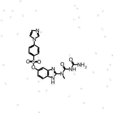 CN(C(=O)NC(N)=O)c1nc2cc(OS(=O)(=O)c3ccc(-n4ccnc4)cc3)ccc2[nH]1